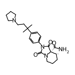 CC(C)(CCN1CCCC1)c1ccc(N2C(=O)N3CCC[CH][C@]3(C(N)=O)C2=O)cc1